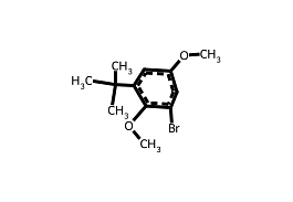 COc1cc(Br)c(OC)c(C(C)(C)C)c1